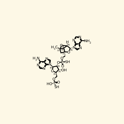 C[C@@]12C[C@]3(COP(=O)(S)O[C@@H]4[C@H](O)[C@@H](CO[P@](=O)(O)S)O[C@H]4n4cnc5c(N)ncnc54)O[C@@H](n4cnc5c(N)ncnc54)[C@H](O1)[C@@H]32